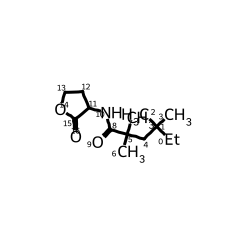 CCC(C)(C)CC(C)(C)C(=O)NC1CCOC1=O